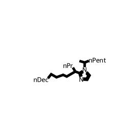 CCCCCCCCCCCCCCC(CCC)c1nccn1C(C)CCCCC